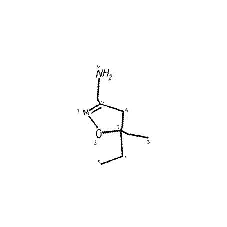 CCC1(C)CC(N)=NO1